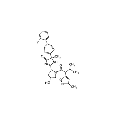 Cc1cc(C(C(=O)N2C[C@H](O)C[C@@H]2C2=NC(=O)[C@](C)(c3ccc(-c4ccccc4F)cc3)N2)C(C)C)on1